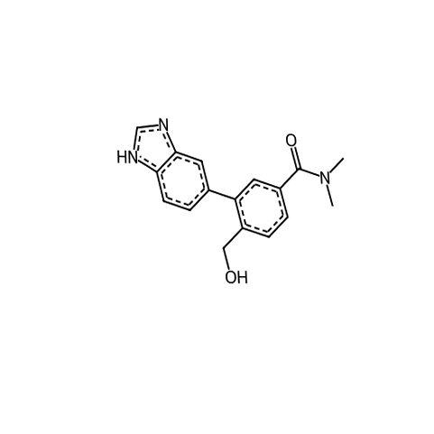 CN(C)C(=O)c1ccc(CO)c(-c2ccc3[nH]cnc3c2)c1